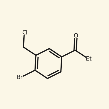 CCC(=O)c1ccc(Br)c(CCl)c1